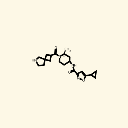 C[C@H]1CC(NC(=O)c2cc(C3CC3)on2)CCN1C(=O)C1CC2(CCNC2)C1